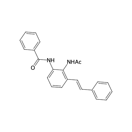 CC(=O)Nc1c(C=Cc2ccccc2)cccc1NC(=O)c1ccccc1